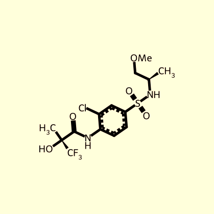 COC[C@@H](C)NS(=O)(=O)c1ccc(NC(=O)[C@@](C)(O)C(F)(F)F)c(Cl)c1